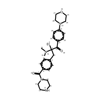 CCC(Cc1ccc(C(=O)N2CCNCC2)cc1)(C(=O)c1ccc(N2CCOCC2)cc1)N(C)C